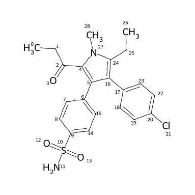 CCC(=O)c1c(-c2ccc(S(N)(=O)=O)cc2)c(-c2ccc(Cl)cc2)c(CC)n1C